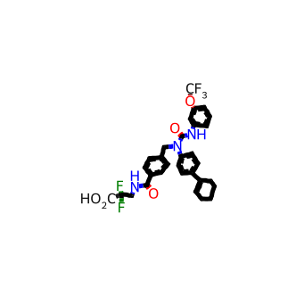 O=C(NCC(F)(F)C(=O)O)c1ccc(CN(C(=O)Nc2cccc(OC(F)(F)F)c2)c2ccc(C3=CCCCC3)cc2)cc1